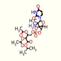 CC(=O)O[C@@H](CO[P@]1(=O)OC2[C@H]3O[C@@H](n4ccc(=O)[nH]c4=O)[C@](C)(N)[C@@]23O1)[C@@H](OC(C)=O)C(=O)OC(C)C